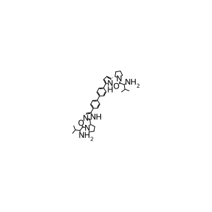 CC(C)[C@H](N)C(=O)N1CCCC1c1ncc(-c2ccc(-c3ccc(-c4ccc([C@@H]5CCCN5C(=O)[C@@H](N)C(C)C)[nH]4)cc3)cc2)[nH]1